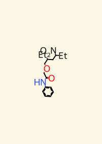 CCC(COCC(=O)Nc1ccccc1)CC(CC)[N+](=O)[O-]